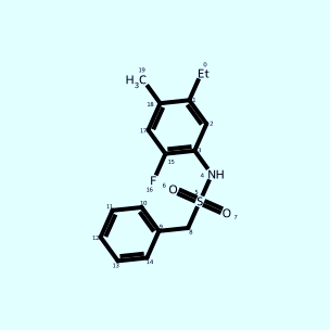 CCc1cc(NS(=O)(=O)Cc2ccccc2)c(F)cc1C